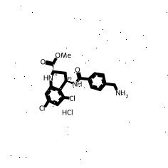 COC(=O)[C@@H]1C[C@@H](NC(=O)c2ccc(CN)cc2)c2c(Cl)cc(Cl)cc2N1.Cl